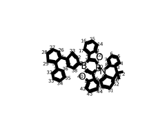 CC1(C)c2ccccc2N(B2c3oc4ccccc4c3B(c3ccc(-c4ccccc4-c4ccccc4)cc3)c3oc4ccccc4c32)c2ccccc21